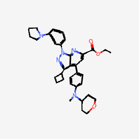 CCOC(=O)c1cc(-c2ccc(N(C)C3CCOCC3)cc2)c2c(C3CCC3)nn(-c3cccc(N4CCCC4)c3)c2n1